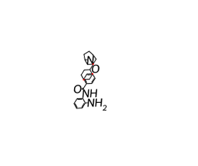 Nc1ccccc1NC(=O)c1ccc(OC2CC3CCC(C2)N3CC2CCCCC2)cc1